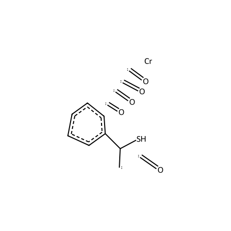 [CH]C(S)c1ccccc1.[C]=O.[C]=O.[C]=O.[C]=O.[C]=O.[Cr]